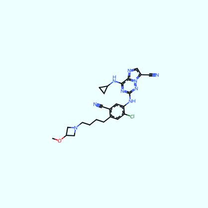 COC1CN(CCCCc2cc(Cl)c(Nc3nc(NC4CC4)c4ncc(C#N)n4n3)cc2C#N)C1